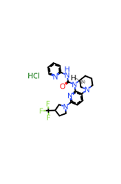 Cl.O=C(Nc1ccccn1)N1c2nc(N3CCC(C(F)(F)F)C3)ccc2N2CCC[C@H]1C2